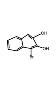 Oc1cc2ccccc2c(Br)c1O